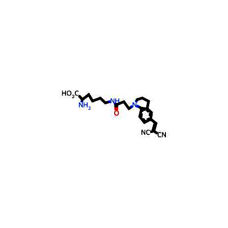 N#CC(C#N)=Cc1ccc2c(c1)CCCN2CCC(=O)NCCCCC(N)C(=O)O